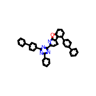 c1ccc(-c2ccc(-c3nc(-c4ccccc4)nc(-c4ccc5c(n4)oc4cccc(-c6ccc(-c7ccccc7)cc6)c45)n3)cc2)cc1